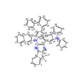 CC1(C)c2ccccc2-c2nc(-n3c4cc5ccccc5cc4c4c5c6ccccc6c6ccccc6c5ccc43)c(-c3ccc4c5ccccc5n(-c5ccccc5)c4c3)nc21